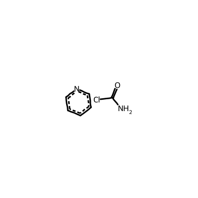 NC(=O)Cl.c1ccncc1